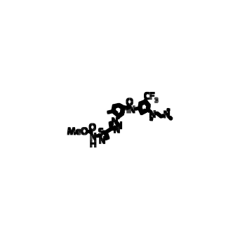 COC(=O)Nc1ncc(-c2cn(-c3cc(C(=O)Nc4cc(N(C)CCN(C)C)cc(C(F)(F)F)c4)ccc3C)nn2)s1